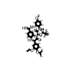 CCOc1cc(C(Nc2ccc(C(=N)N)cc2)C(=O)NN(OC(=O)C(F)(F)F)C(=S)Nc2ccc(OC)cc2)ccc1OC(C)C